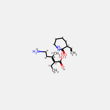 C=CC1CCCCNC1=O.CCC(C(=O)O)=C(C)CCN